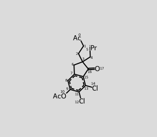 CC(=O)CCC1(CC(C)C)Cc2cc(OC(C)=O)c(Cl)c(Cl)c2C1=O